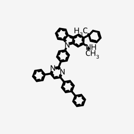 CNc1cc2c(cc1C1(C)C=CC=CC1)c1ccccc1n2-c1ccc(-c2nc(-c3ccccc3)cc(-c3ccc(-c4ccccc4)cc3)n2)cc1